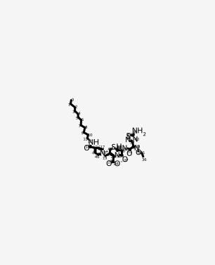 CCCCCCCCCCCCNC(=O)c1cc[n+](CC2=C(C(=O)[O-])N3C(=O)C(NC(=O)/C(=N\OCC)c4nsc(N)n4)[C@H]3SC2)cc1